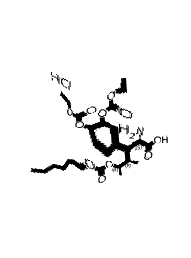 CCCCCCOC(=O)O[C@H](C)[C@H](C)C(c1ccc(OC(=O)OCC)c(OC(=O)OCC)c1)[C@H](N)C(=O)O.Cl